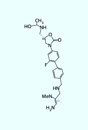 CN/C(=C\N)CNCc1ccc(-c2ccc(N3C[C@H](CNC(C)O)OC3=O)cc2F)cc1